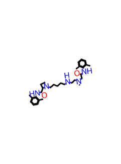 Cc1cccc(C)c1NC(=O)CN(C)CCNCCCCCN1CCC1C(=O)Nc1c(C)cccc1C